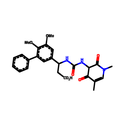 COc1cc(C(CC(=O)O)NC(=O)NC2C(=O)C(C)=CN(C)C2=O)cc(-c2ccccc2)c1OC